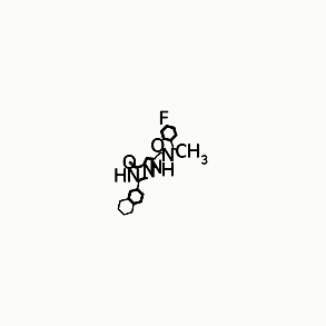 CC(NC(=O)c1cc2c(=O)[nH]c(-c3ccc4c(c3)CCCC4)cn2n1)c1ccc(F)cc1